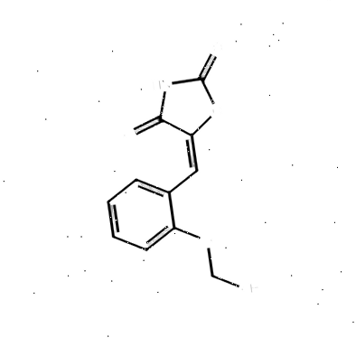 CCOc1ccccc1/C=C1/OC(=O)NC1=O